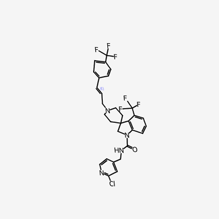 O=C(NCc1ccnc(Cl)c1)N1CC2(CCN(C/C=C/c3ccc(C(F)(F)F)cc3)CC2)c2c1cccc2C(F)(F)F